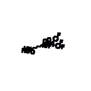 O=C(CCCCCNC(=O)NC(=O)/C(=C/c1ccc(F)c(F)c1)c1ccc(F)cc1)NO